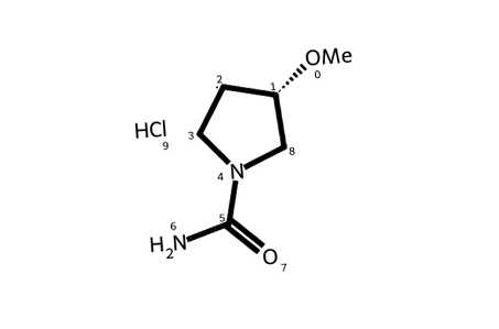 CO[C@H]1[CH]CN(C(N)=O)C1.Cl